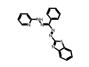 c1ccc(C(N=Nc2nc3ccccc3s2)=NNc2ccccn2)cc1